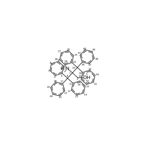 NC(CO)(C(c1ccccc1)(c1ccccc1)c1ccccc1)C(c1ccccc1)(c1ccccc1)c1ccccc1